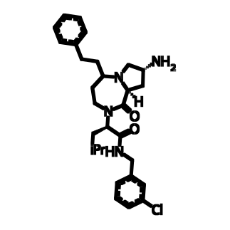 CC(C)C[C@H](C(=O)NCc1cccc(Cl)c1)N1CCC(CCc2ccccc2)N2C[C@H](N)C[C@H]2C1=O